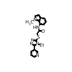 CCn1c(SCC(=O)Nc2cccc3ccn(C)c23)nnc1-c1cccnc1